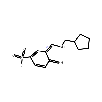 N=C1C=CC(S(=O)(=O)Cl)=C/C1=C/NCC1CCCC1